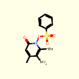 CCCCc1c([N+](=O)[O-])c(C)cc(=O)n1OS(=O)(=O)c1ccccc1